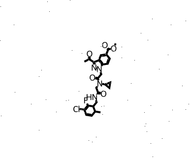 COC(=O)c1ccc2c(c1)c(C(C)=O)nn2CC(=O)N(CC(=O)NCC1C(F)=C(Cl)C=CC1C)C1CC1